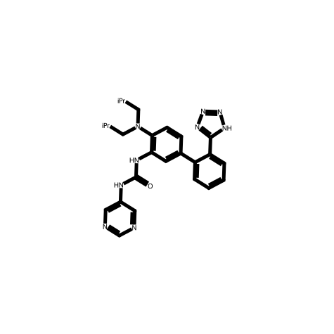 CC(C)CN(CC(C)C)c1ccc(-c2ccccc2-c2nnn[nH]2)cc1NC(=O)Nc1cncnc1